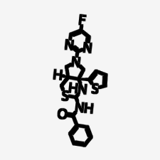 O=C(NC1N[C@@]2(c3cccs3)CN(c3ncc(F)cn3)C[C@H]2CS1)c1ccccc1